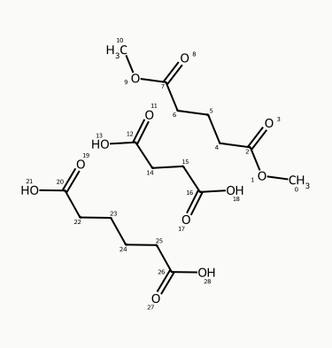 COC(=O)CCCC(=O)OC.O=C(O)CCC(=O)O.O=C(O)CCCCC(=O)O